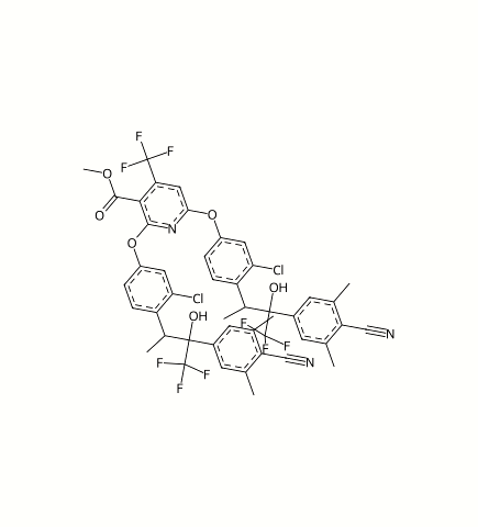 COC(=O)c1c(C(F)(F)F)cc(Oc2ccc(C(C)C(O)(c3cc(C)c(C#N)c(C)c3)C(F)(F)F)c(Cl)c2)nc1Oc1ccc(C(C)C(O)(c2cc(C)c(C#N)c(C)c2)C(F)(F)F)c(Cl)c1